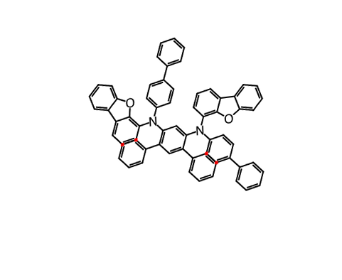 c1ccc(-c2ccc(N(c3cc(N(c4ccc(-c5ccccc5)cc4)c4cccc5c4oc4ccccc45)c(-c4ccccc4)cc3-c3ccccc3)c3cccc4c3oc3ccccc34)cc2)cc1